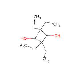 CCC1(CC)C(O)C(CC)(CC)C1O